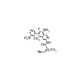 Cc1c(N)cncc1-c1cc2cc(NC(=O)C3[C@H](C)[C@H]3CC#N)ncc2c(N)c1F